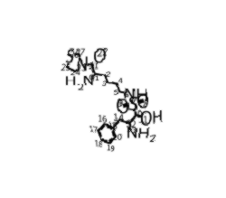 NC(CCCCNS(=O)(=O)C(O)C(N)Cc1ccccc1)C(=O)N1CCSC1